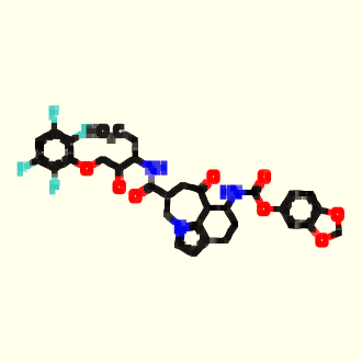 O=C(O)CC(NC(=O)C1CC(=O)C2c3c(ccn3C1)CCC2NC(=O)Oc1ccc2c(c1)OCO2)C(=O)COc1c(F)c(F)cc(F)c1F